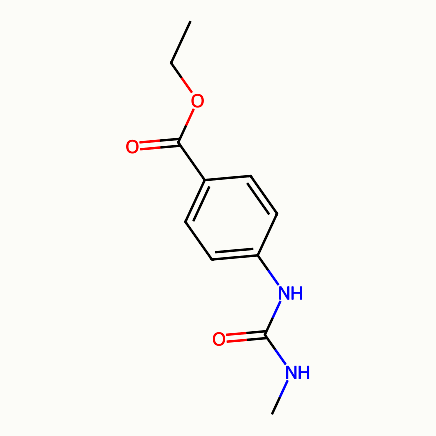 CCOC(=O)c1ccc(NC(=O)NC)cc1